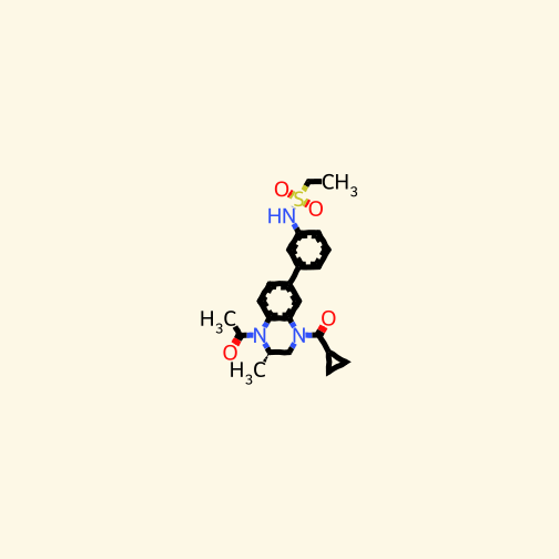 CCS(=O)(=O)Nc1cccc(-c2ccc3c(c2)N(C(=O)C2CC2)C[C@H](C)N3C(C)=O)c1